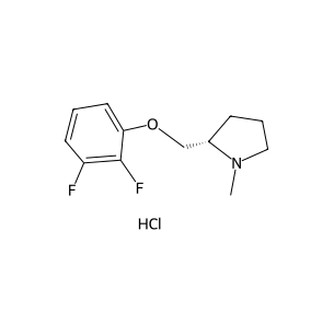 CN1CCC[C@H]1COc1cccc(F)c1F.Cl